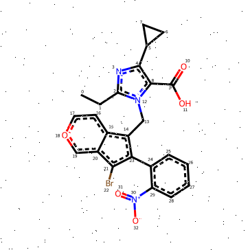 CCc1nc(C2CC2)c(C(=O)O)n1Cc1c2ccocc-2c(Br)c1-c1ccccc1[N+](=O)[O-]